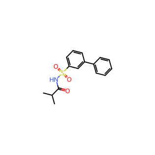 CC(C)C(=O)NS(=O)(=O)c1cccc(-c2ccccc2)c1